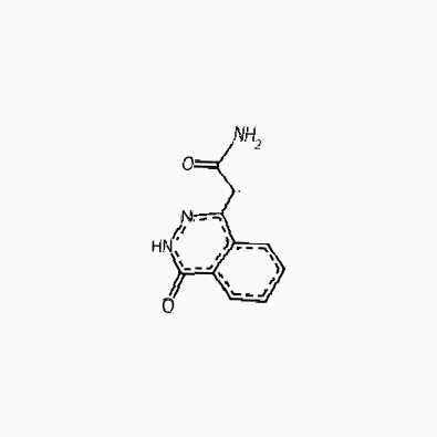 NC(=O)[CH]c1n[nH]c(=O)c2ccccc12